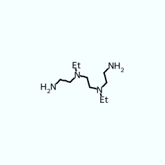 CCN(CCN)CCN(CC)CCN